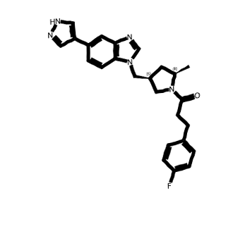 C[C@@H]1C[C@H](Cn2cnc3cc(-c4cn[nH]c4)ccc32)CN1C(=O)CCc1ccc(F)cc1